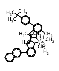 CC1=Cc2c(-c3ccc(C(C)(C)C)cc3)ccc(C)c2[CH]1[Zr]([Cl])([Cl])([CH]1C(C(C)C)=Cc2c(-c3ccc4ccccc4c3)cccc21)[SiH](C)C